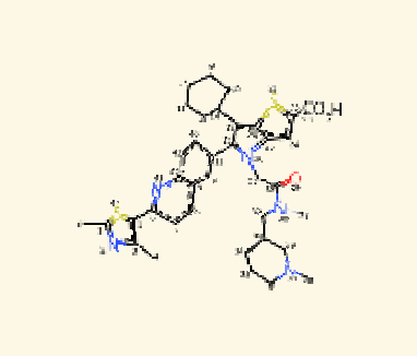 Cc1nc(C)c(-c2ccc3cc(-c4c(C5CCCCC5)c5sc(C(=O)O)cc5n4CC(=O)N(C)CC4CCCN(C)C4)ccc3n2)s1